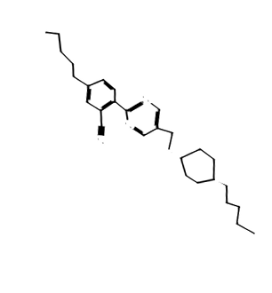 CCCCCc1ccc(-c2ncc(CC[C@H]3CC[C@H](CCCCC)CC3)cn2)c(C#N)c1